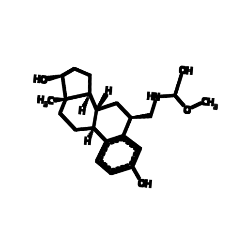 COC(O)NC[C@@H]1C[C@@H]2[C@H](CC[C@]3(C)[C@@H](O)CC[C@@H]23)c2ccc(O)cc21